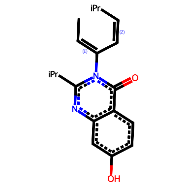 C/C=C(\C=C/C(C)C)n1c(C(C)C)nc2cc(O)ccc2c1=O